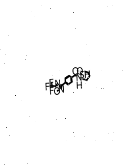 O=C(N[SH]1(=O)CCCCC1)c1ccc(-c2noc(C(F)(F)F)n2)cc1